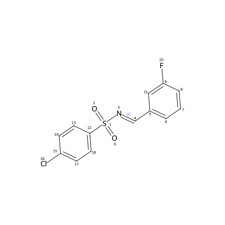 O=S(=O)(/N=C/c1cccc(F)c1)c1ccc(Cl)cc1